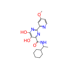 COc1ccnc(-c2nc(O)c(O)c(C(=O)NC(C)C3CCCCC3)n2)c1